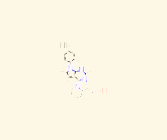 CBc1cc(C)c(-n2c(C)c(C)c3c(N4CCCCC4CCO)nc(C)nc32)c(C)c1